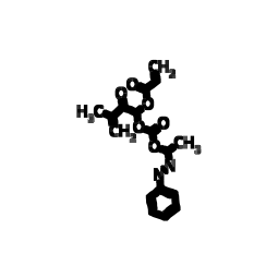 C=CC(=O)OC(OC(=O)OC(C)/N=N/c1ccccc1)C(=O)C(=C)C